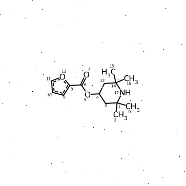 CC1(C)CC(OC(=O)c2ccco2)CC(C)(C)N1